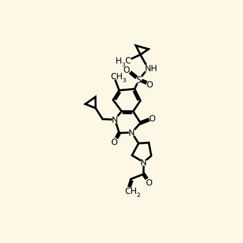 C=CC(=O)N1CCC(n2c(=O)c3cc(S(=O)(=O)NC4(C)CC4)c(C)cc3n(CC3CC3)c2=O)C1